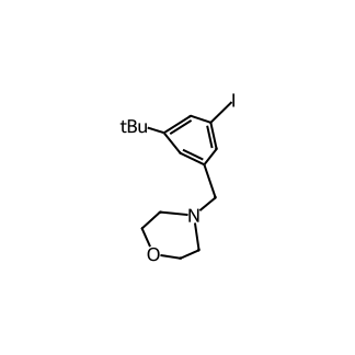 CC(C)(C)c1cc(I)cc(CN2CCOCC2)c1